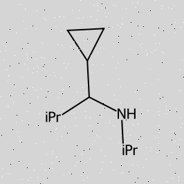 CC(C)NC(C(C)C)C1CC1